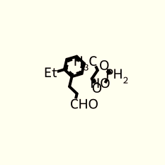 CCC=O.CCc1ccccc1CCC=O.O=[PH2]O